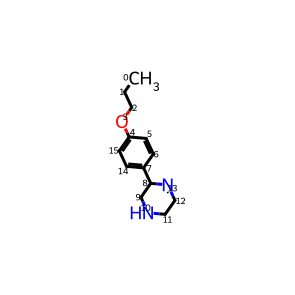 CCCOc1ccc(C2CNCC[N]2)cc1